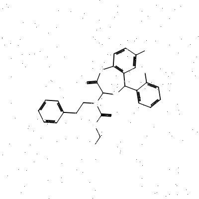 O=C(O)CNC(=O)N(CCc1ccccc1)C1OC(c2ccccc2Cl)c2cc(Cl)ccc2NC1=O